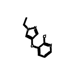 CCn1cc(Oc2cccnc2Cl)cn1